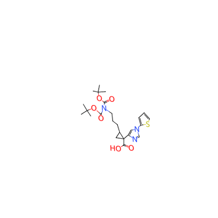 CC(C)(C)OC(=O)N(CCCC1CC1(C(=O)O)c1cn(-c2cccs2)cn1)C(=O)OC(C)(C)C